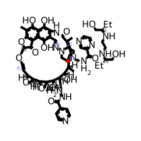 CC[C@@H](CO)NCCN[C@@H](CC)CO.CO[C@H]1/C=C/O[C@@]2(C)Oc3c(C)c(O)c4c(O)c(c(/C=N/N5CCN(C)CC5)c(O)c4c3C2=O)NC(=O)/C(C)=C\C=C\[C@H](C)[C@H](O)[C@@H](C)[C@@H](O)[C@@H](C)[C@H](OC(C)=O)[C@@H]1C.NC(=O)c1cnccn1.NNC(=O)c1ccncc1